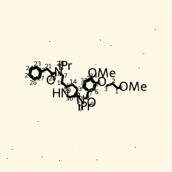 COCCCOc1cc(C(=O)N(C(C)C)[C@@H]2CCC(CCN(C(=O)Cc3ccccc3)C(C)C)NC2)ccc1OC